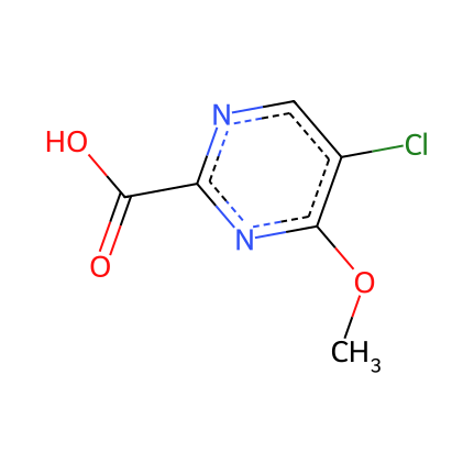 COc1nc(C(=O)O)ncc1Cl